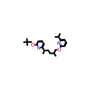 CC(CCC(C)c1cccc(OCC(C)(C)C)n1)COc1cccc(C(C)C)n1